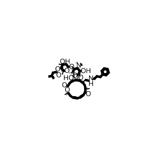 CO[C@@H]1[C@@H](O[C@@H]2O[C@H](C)[C@@H](O[C@H]3C[C@@](C)(O)[C@@H](OC(=O)CC(C)C)[C@H](C)O3)[C@H](N(C)C)[C@H]2O)[C@@H](CCNCCCc2ccccc2)C[C@@H](C)C(=O)C=CC=CC[C@@H](C)OC(=O)C[C@H]1O